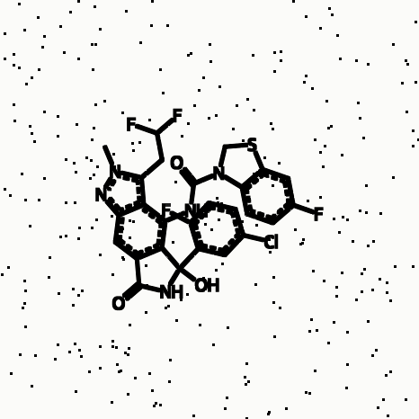 Cn1nc2cc3c(c(NC(=O)N4CSc5cc(F)ccc54)c2c1CC(F)F)C(O)(c1cc(Cl)ccc1F)NC3=O